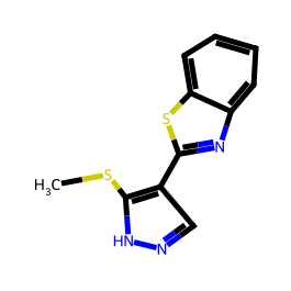 CSc1[nH]ncc1-c1nc2ccccc2s1